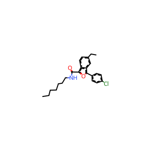 CCCCCCCNC(=O)c1oc(-c2ccc(Cl)cc2)c2cc(CC)ccc12